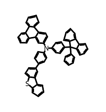 c1ccc(C2(c3ccc(N(c4ccc(-c5ccc6sc7ccccc7c6c5)cc4)c4ccc5c6ccccc6c6ccccc6c5c4)cc3)c3ccccc3-c3ccccc32)cc1